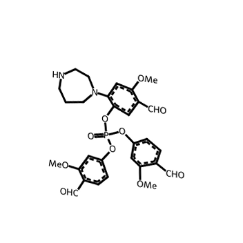 COc1cc(OP(=O)(Oc2ccc(C=O)c(OC)c2)Oc2cc(C=O)c(OC)cc2N2CCCNCC2)ccc1C=O